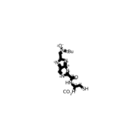 CC(C)(C)/[N+]([O-])=C\C1N=c2cnc(C(=O)NC(CS)C(=O)O)nc2=N1